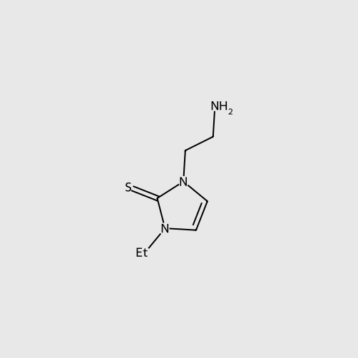 CCn1ccn(CCN)c1=S